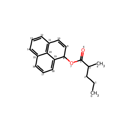 CCCC(C)C(=O)OC1C=Cc2cccc3cccc1c23